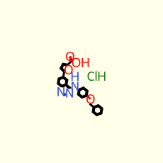 Cl.O=C(O)c1ccc(-c2ccc3ncnc(Nc4ccc(OCc5ccccc5)cc4)c3c2)o1